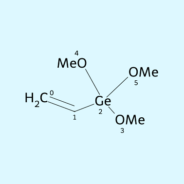 C=[CH][Ge]([O]C)([O]C)[O]C